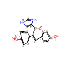 Oc1ccc(C2=Cc3ccc(O)cc3OC2c2c[nH]cn2)cc1